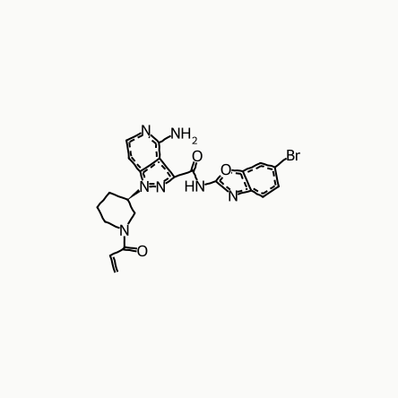 C=CC(=O)N1CCC[C@@H](n2nc(C(=O)Nc3nc4ccc(Br)cc4o3)c3c(N)nccc32)C1